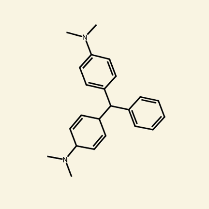 CN(C)c1ccc(C(c2ccccc2)C2C=CC(N(C)C)C=C2)cc1